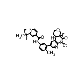 CCN1C(=O)C2(F)COCC[C@@H]2c2cc(-c3cc(NC(=O)c4ccnc(C(C)(F)F)c4)ccc3C)cnc21